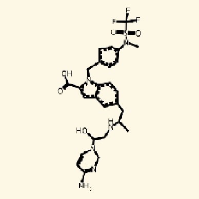 CC(Cc1ccc2c(c1)cc(C(=O)O)n2Cc1ccc(N(C)S(=O)(=O)C(F)(F)F)cc1)NCC(O)N1C=CC(N)=NC1